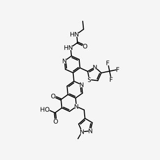 CCNC(=O)Nc1cc(-c2nc(C(F)(F)F)cs2)c(-c2cc3c(=O)c(C(=O)O)cn(Cc4cnn(C)c4)c3cn2)cn1